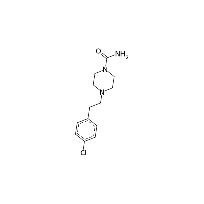 NC(=O)N1CCN(CCc2ccc(Cl)cc2)CC1